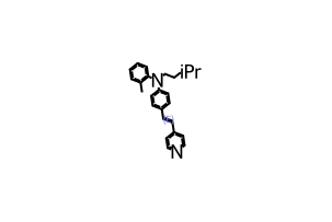 Cc1ccccc1N(CCC(C)C)c1ccc(/C=C/c2ccncc2)cc1